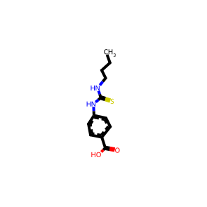 CCCCNC(=S)Nc1ccc(C(=O)O)cc1